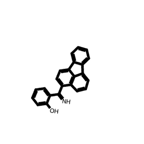 N=C(c1ccccc1O)c1ccc2c3c(cccc13)-c1ccccc1-2